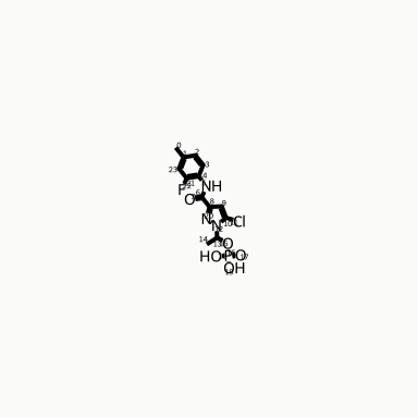 Cc1ccc(NC(=O)c2cc(Cl)n(C(C)OP(=O)(O)O)n2)c(F)c1